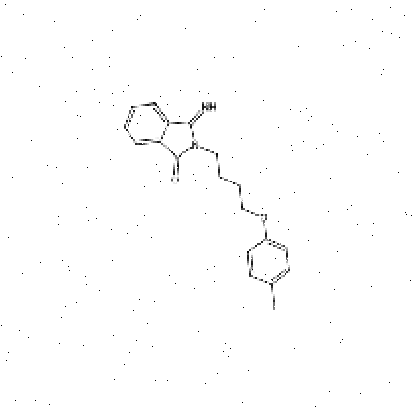 N=C1c2ccccc2C(=O)N1CCCCOc1ccc(I)cc1